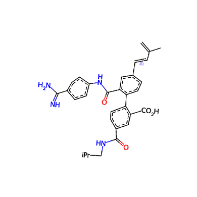 C=C(C)/C=C/c1ccc(-c2ccc(C(=O)NCC(C)C)cc2C(=O)O)c(C(=O)Nc2ccc(C(=N)N)cc2)c1